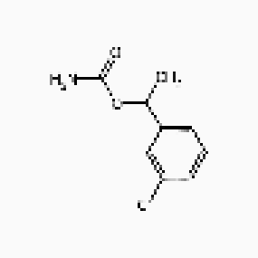 [CH2]C(OC(N)=O)c1cccc(Cl)c1